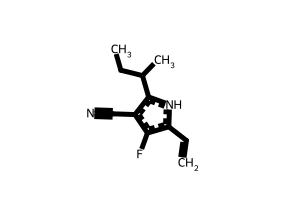 C=Cc1[nH]c(C(C)CC)c(C#N)c1F